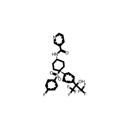 O=C(N[C@H]1CC[C@@](c2ccc(C(O)(C(F)(F)F)C(F)(F)F)cc2)(S(=O)(=O)c2ccc(F)cc2)CC1)c1cccnc1